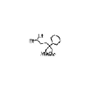 CCC(CC)CCC(COC)(COC)C1CCCCC1